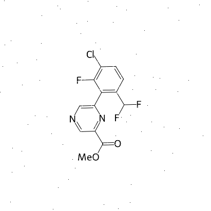 COC(=O)c1cncc(-c2c(C(F)F)ccc(Cl)c2F)n1